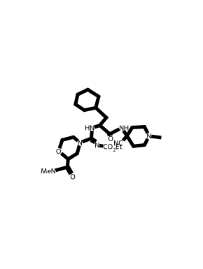 CCOC(=O)/N=C(\NC(CC1CCCCC1)C(=O)NC1(C#N)CCN(C)CC1)N1CCOC(C(=O)NC)C1